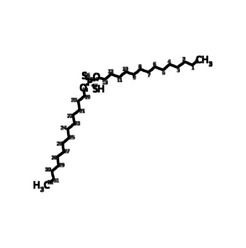 CCCCCCCCCCCCCCOP(=S)(S)OCCCCCCCCCCCCCC